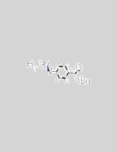 C/N=N/c1ccc(C(=O)C(C)(C)C)cc1